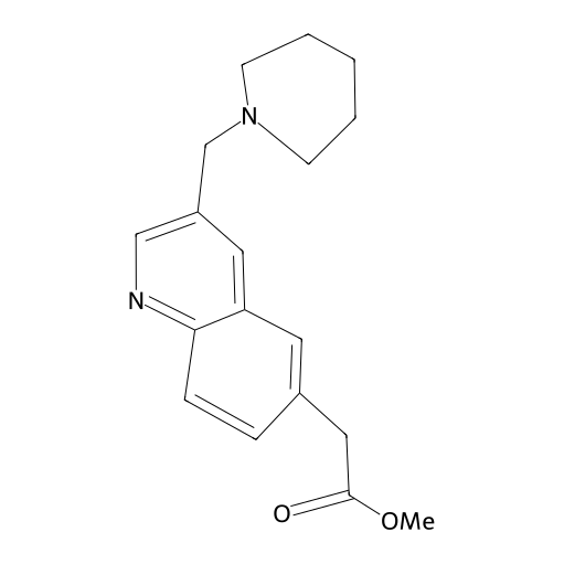 COC(=O)Cc1ccc2ncc(CN3CCCCC3)cc2c1